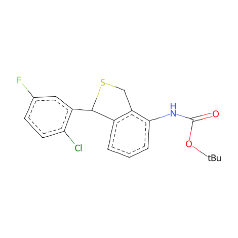 CC(C)(C)OC(=O)Nc1cccc2c1CSC2c1cc(F)ccc1Cl